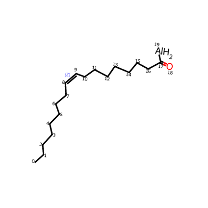 CCCCCCCC/C=C\CCCCCCC[C](=O)[AlH2]